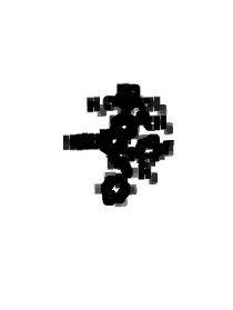 COc1cc2c(cc1-c1c(C)noc1C)ncc1nc(CN3CCOCC3)n([C@H](C)COC(F)F)c12.Cl.Cl.Cl